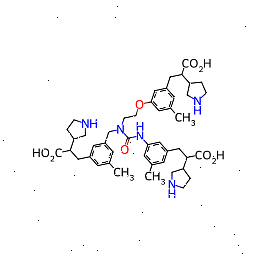 Cc1cc(CC(C(=O)O)C2CCNC2)cc(CN(CCOc2cc(C)cc(CC(C(=O)O)C3CCNC3)c2)C(=O)Nc2cc(C)cc(CC(C(=O)O)C3CCNC3)c2)c1